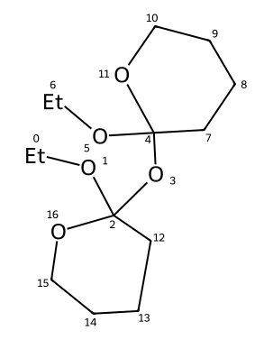 CCOC1(OC2(OCC)CCCCO2)CCCCO1